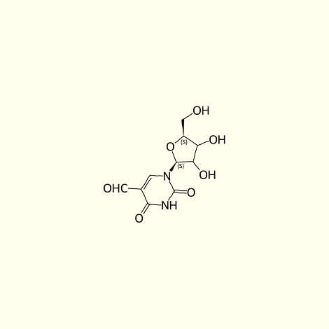 O=Cc1cn([C@H]2O[C@@H](CO)C(O)C2O)c(=O)[nH]c1=O